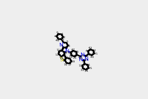 c1ccc(-c2ccc3c(n2)c2ccc4sc5ccccc5c4c2n3-c2ccc(-c3nc(-c4ccccc4)nc(-c4ccccc4)n3)cc2)cc1